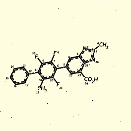 Cn1nc2cc(-c3c(F)c(F)c(-c4ccccc4)c(P)c3F)cc(C(=O)O)c2n1